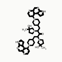 CC1(O)CCN(C(CC2CCN(c3ccnc4cnc5[nH]ccc5c34)CC2)C(=O)C(CC2CCN(c3ccnc4cnc5[nH]ccc5c34)CC2)N2CCC(C)(O)C2)C1